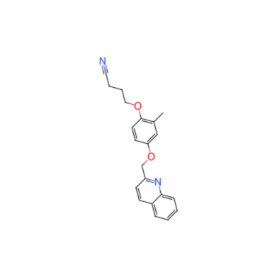 Cc1cc(OCc2ccc3ccccc3n2)ccc1OCCCC#N